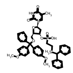 COc1ccc(C(OC[C@H]2O[C@@H](n3cc(C)c(=O)[nH]c3=O)C[C@@H]2OP(=O)(O)CC[SiH2]C(c2ccccc2)c2ccccc2)(c2ccccc2)c2ccc(OC)cc2)cc1